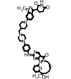 Cn1nc(C2CCC(=O)NC2=O)c2ccc(N3CCC(CN4CCN(c5ccc(Nc6ncc7c(=O)n8n(c7n6)-c6cccc(n6)C(C)(O)CC/C=C\C8)cc5)CC4)CC3)cc21